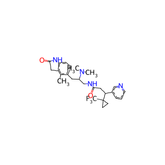 Cc1c(CC(CNC(=O)CC(c2cccnc2)C2(C(F)(F)F)CC2)N(C)C)ccc2c1CC(=O)N2